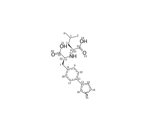 CC(C)C[C@H](N[C@@H](Cc1ccc(-c2ccsc2)cc1)C(=O)O)C(=O)O